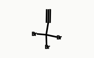 [C]#CC(Br)(Br)Br